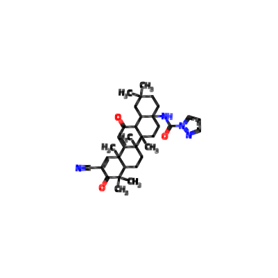 CC1(C)CCC2(NC(=O)n3cccn3)CCC3(C)C(C(=O)C=C4C5(C)C=C(C#N)C(=O)C(C)(C)C5CCC43C)C2C1